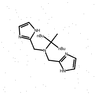 CCCCC(C)(CCCC)N(Cc1ncc[nH]1)Cc1ncc[nH]1